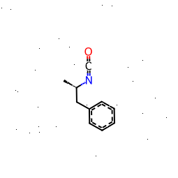 C[C@H](Cc1ccccc1)N=C=O